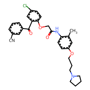 Cc1cc(OCCCN2CCCC2)ccc1NC(=O)COc1ccc(Cl)cc1C(=O)c1cccc(C#N)c1